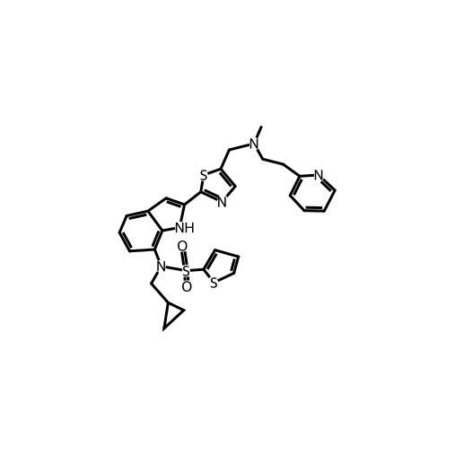 CN(CCc1ccccn1)Cc1cnc(-c2cc3cccc(N(CC4CC4)S(=O)(=O)c4cccs4)c3[nH]2)s1